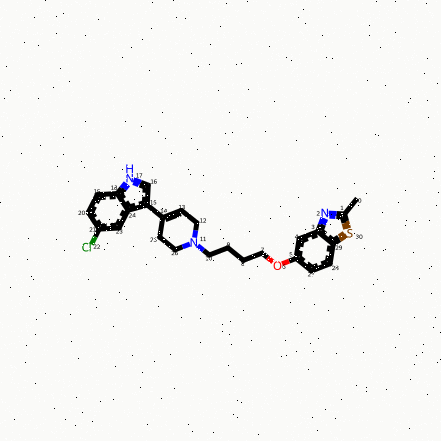 Cc1nc2cc(OCCCCN3CC=C(c4c[nH]c5ccc(Cl)cc45)CC3)ccc2s1